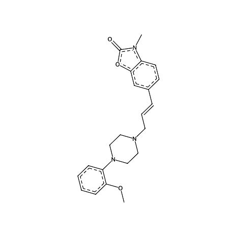 COc1ccccc1N1CCN(CC=Cc2ccc3c(c2)oc(=O)n3C)CC1